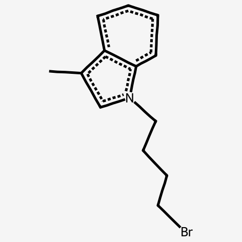 Cc1cn(CCCCBr)c2ccccc12